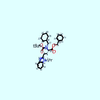 CCCn1c(CC[C@@H](C(=O)OCc2ccccc2)N(CC2CCCCC2)C(=O)OC(C)(C)C)nc2ccccc21